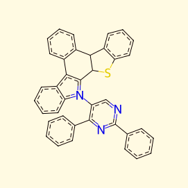 c1ccc(-c2ncc(-n3c4c(c5ccccc53)-c3ccccc3C3c5ccccc5SC43)c(-c3ccccc3)n2)cc1